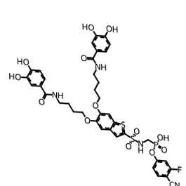 N#Cc1ccc(OP(=O)(O)CNS(=O)(=O)c2cc3cc(OCCCCNC(=O)c4ccc(O)c(O)c4)c(OCCCCNC(=O)c4ccc(O)c(O)c4)cc3s2)cc1F